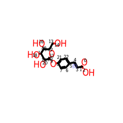 O=C(O)/C=C/c1ccc(O[C@@H]2OC(CO)[C@H](O)C(O)C2O)cc1